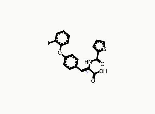 O=C(O)/C(=C/c1ccc(Oc2ccccc2I)cc1)NC(=O)c1cccs1